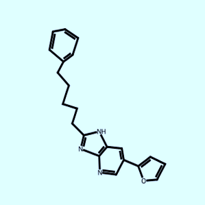 c1ccc(CCCCCc2nc3ncc(-c4ccco4)cc3[nH]2)cc1